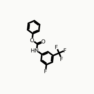 O=C(Nc1cc(F)cc(C(F)(F)F)c1)Oc1ccccc1